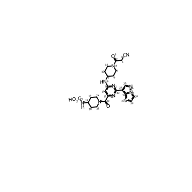 N#CCC(=O)N1CCC(Nc2cc(C(=O)N3CCC(NC(=O)O)CC3)nc(-c3cnn4ccsc34)n2)CC1